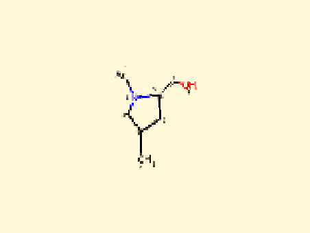 CC(=O)N1CC(C)C[C@H]1CO